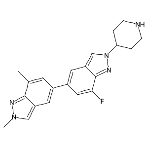 Cc1cc(-c2cc(F)c3nn(C4CCNCC4)cc3c2)cc2cn(C)nc12